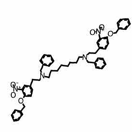 O=[N+]([O-])c1cc(CCN(CCCCCCCCN(CCc2ccc(OCc3ccccc3)c([N+](=O)[O-])c2)Cc2ccccc2)Cc2ccccc2)ccc1OCc1ccccc1